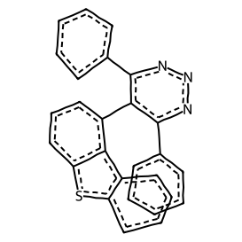 c1ccc(-c2nnnc(-c3ccccc3)c2-c2cccc3sc4ccccc4c23)cc1